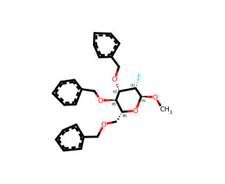 CO[C@H]1O[C@H](COCc2ccccc2)[C@@H](OCc2ccccc2)[C@H](OCc2ccccc2)[C@@H]1F